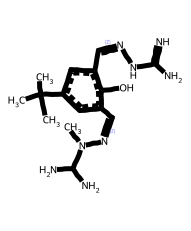 CN(/N=C\c1cc(C(C)(C)C)cc(/C=N\NC(=N)N)c1O)C(N)N